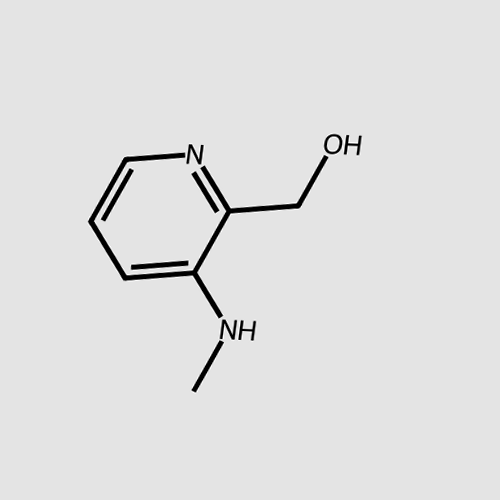 CNc1cccnc1CO